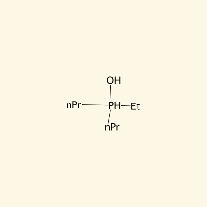 CCC[PH](O)(CC)CCC